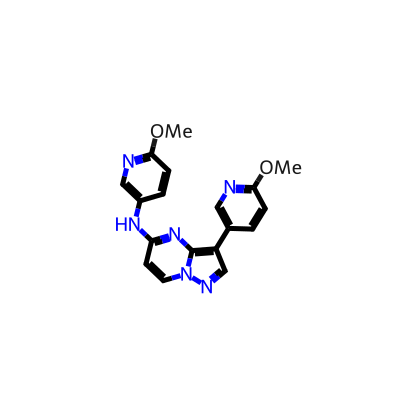 COc1ccc(Nc2ccn3ncc(-c4ccc(OC)nc4)c3n2)cn1